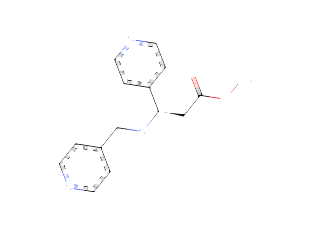 CC(C)(C)OC(=O)C[C@@H](NCc1ccncc1)c1ccncc1